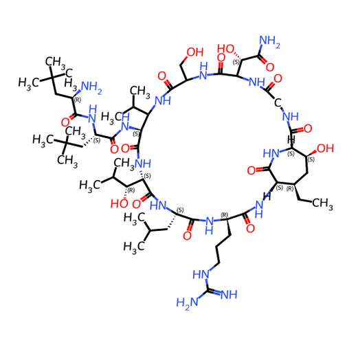 CC[C@@H]1C[C@H](O)[C@@H]2NC(=O)[C@H]1NC(=O)[C@@H](CCCNC(=N)N)NC(=O)[C@H](CC(C)C)NC(=O)[C@H]([C@H](O)C(C)C)NC(=O)[C@@H](NC(=O)[C@H](CC(C)(C)C)NC(=O)[C@H](N)CC(C)(C)C)C(C(C)C)NC(=O)C(CO)NC(=O)C([C@H](O)C(N)=O)NC(=O)CNC2=O